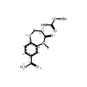 CN1C(=S)[C@@H](NC(=O)OC(C)(C)C)COc2ccc(C(N)=O)cc21